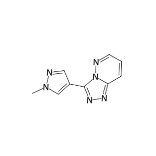 Cn1cc(-c2nnc3cccnn23)cn1